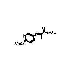 COC(=O)/C(C)=C/c1ccc(OC)nc1